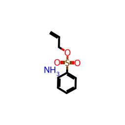 C=CCOS(=O)(=O)c1ccccc1.N